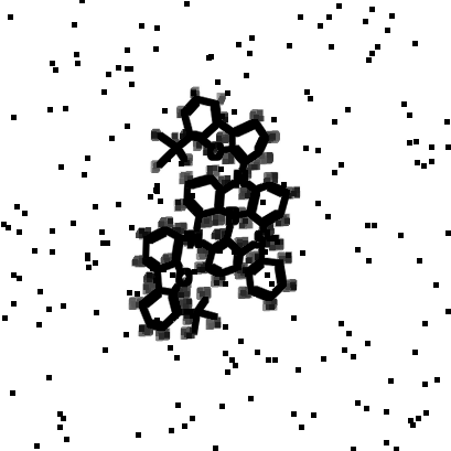 CC(C)(C)c1cccc2c1oc1c(N3c4cccc5c4B4c6c3cccc6[Si](C)(c3ccccc3)c3cccc(c34)N5c3cccc4c3oc3c(C(C)(C)C)cccc34)cccc12